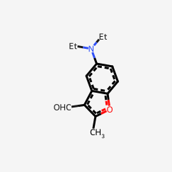 CCN(CC)c1ccc2oc(C)c(C=O)c2c1